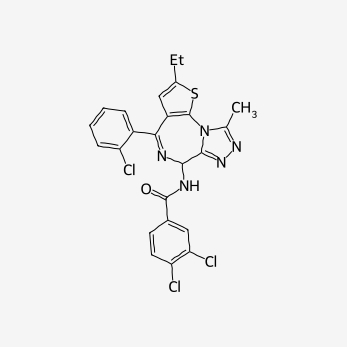 CCc1cc2c(s1)-n1c(C)nnc1C(NC(=O)c1ccc(Cl)c(Cl)c1)N=C2c1ccccc1Cl